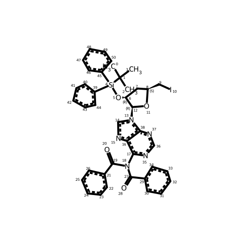 CC(C)(C)[Si](O[C@@H]1C[C@@H](CI)O[C@H]1n1cnc2c(N(C(=O)c3ccccc3)C(=O)c3ccccc3)ncnc21)(c1ccccc1)c1ccccc1